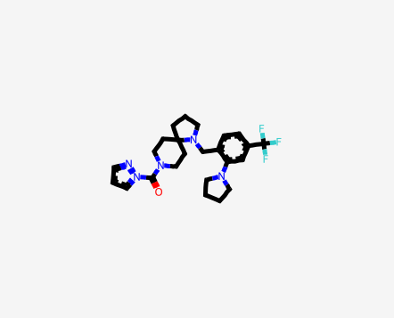 O=C(N1CCC2(CCCN2Cc2ccc(C(F)(F)F)cc2N2CCCC2)CC1)n1cccn1